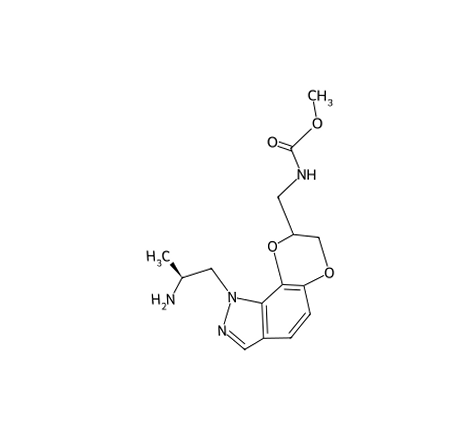 COC(=O)NCC1COc2ccc3cnn(C[C@H](C)N)c3c2O1